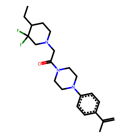 C=C(C)c1ccc(N2CCN(C(=O)CN3CCC(CC)C(F)(F)C3)CC2)cc1